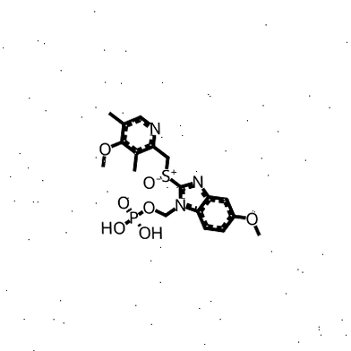 COc1ccc2c(c1)nc([S+]([O-])Cc1ncc(C)c(OC)c1C)n2COP(=O)(O)O